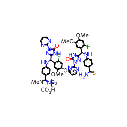 CC(=O)O.CNC(=N)c1ccc(NC(c2nn(-c3ncccn3)c(=O)[nH]2)c2cc(OC)c(OC)cc2F)cc1.COc1cc(F)c(C(Nc2ccc(C(N)=S)cc2)c2nn(-c3ncccn3)c(=O)[nH]2)cc1OC